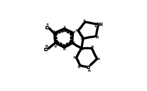 Clc1ccc(C2(C3CCNC3)CCOCC2)cc1Cl